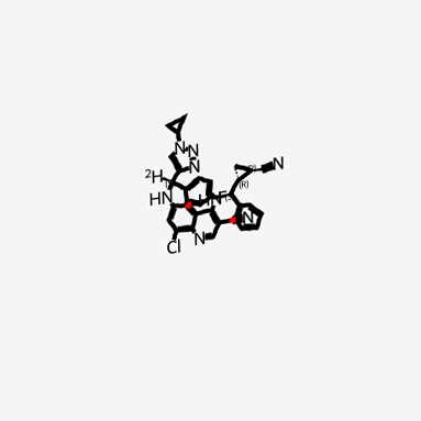 [2H][C@](Nc1cc(Cl)c2ncc(C#N)c(N[C@H](c3ccccc3)[C@@H]3C[C@H]3C#N)c2c1)(c1ccc(F)cc1)c1cn(C2CC2)nn1